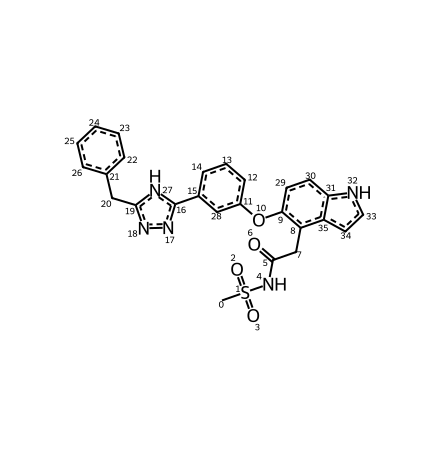 CS(=O)(=O)NC(=O)Cc1c(Oc2cccc(-c3nnc(Cc4ccccc4)[nH]3)c2)ccc2[nH]ccc12